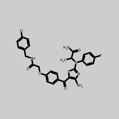 CC(C(N)=O)N(c1ccc(F)cc1)c1nc(N)c(C(=O)c2ccc(OCC(=O)NCc3ccc(Cl)cc3)cc2)s1